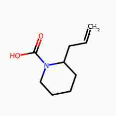 C=CCC1CCCCN1C(=O)O